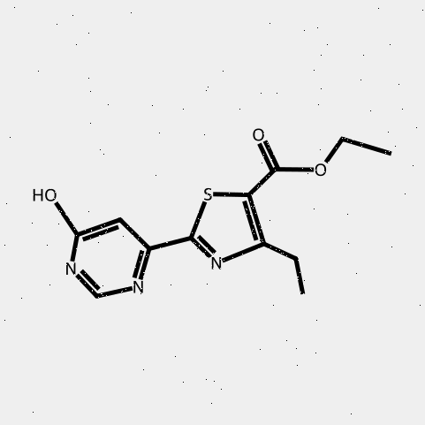 CCOC(=O)c1sc(-c2cc(O)ncn2)nc1CC